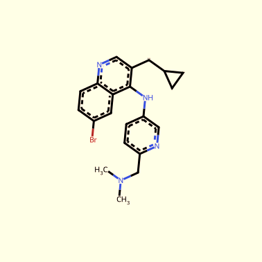 CN(C)Cc1ccc(Nc2c([C]C3CC3)cnc3ccc(Br)cc23)cn1